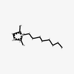 CCCCCCCCn1c(C)cnc1C